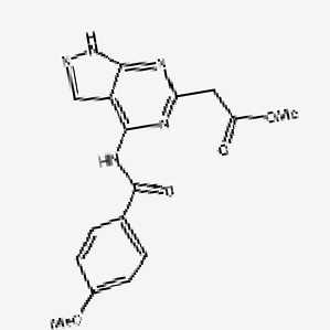 COC(=O)Cc1nc(NC(=O)c2ccc(OC)cc2)c2cn[nH]c2n1